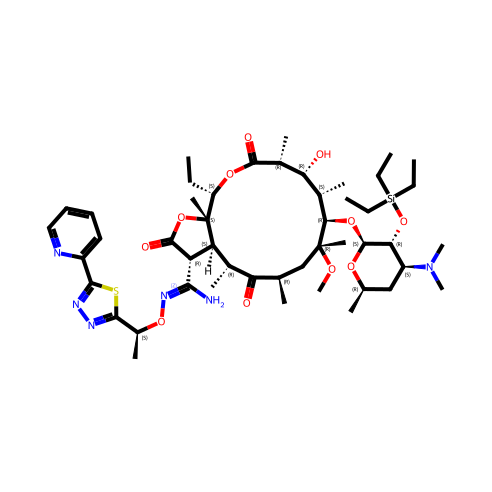 CC[C@@H]1OC(=O)[C@H](C)[C@H](O)[C@H](C)[C@@H](O[C@@H]2O[C@H](C)C[C@H](N(C)C)[C@H]2O[Si](CC)(CC)CC)[C@](C)(OC)C[C@@H](C)C(=O)[C@H](C)[C@H]2[C@H](/C(N)=N/O[C@@H](C)c3nnc(-c4ccccn4)s3)C(=O)O[C@@]21C